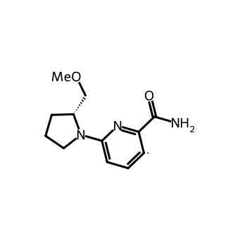 COC[C@H]1CCCN1c1cc[c]c(C(N)=O)n1